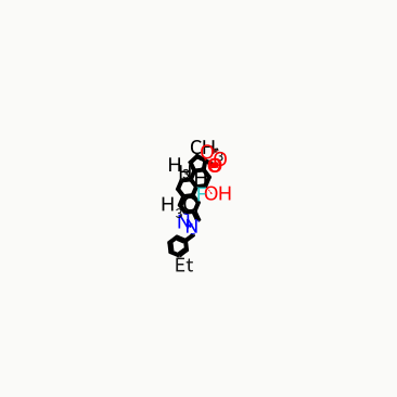 CCc1cccc(Cn2cc3c(n2)C=C2CC[C@H]4[C@@H]5C[C@@H](C)[C@@]6(OCOC67COCO7)[C@@]5(C)C[C@H](O)[C@]4(F)[C@@]2(C)C3)c1